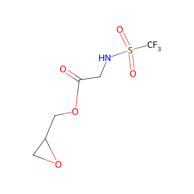 O=C(CNS(=O)(=O)C(F)(F)F)OCC1CO1